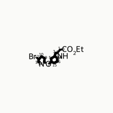 CCOC(=O)Cc1cc2cc(Oc3ccc(Br)cn3)ccc2[nH]1